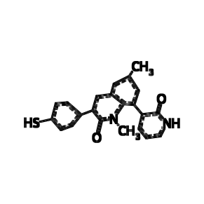 Cc1cc(-c2ccc[nH]c2=O)c2c(c1)cc(-c1ccc(S)cc1)c(=O)n2C